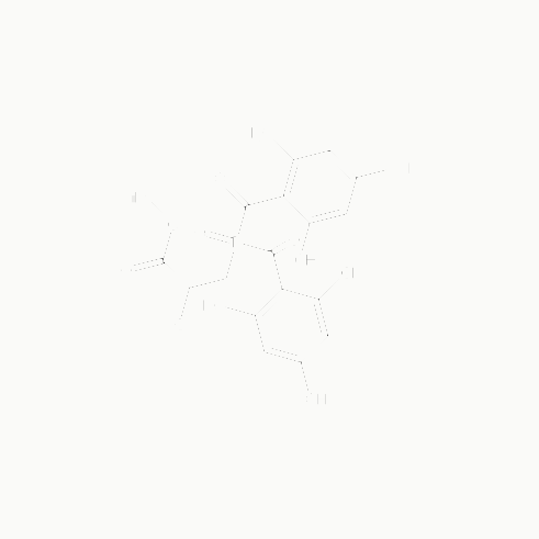 Cc1cc(C)c(C(=O)P(=O)(CC(C)C(=O)OC(C)C)C(=O)c2c(C)cc(C)cc2C)c(C)c1